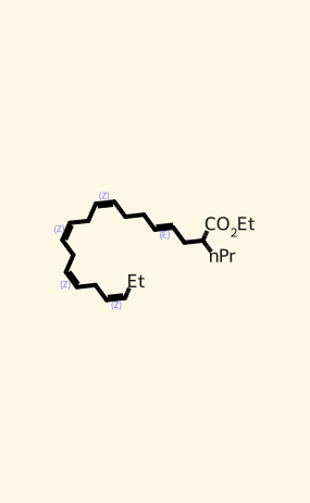 CC/C=C\C/C=C\C/C=C\C/C=C\CC/C=C/CC(CCC)C(=O)OCC